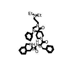 CCN(CC)CCN1CN(c2ccccc2)C2(CCN(C(=O)[C@@H](Cc3ccccc3)NC(=O)[C@H]3Cc4ccccc4CN3)CC2)C1=O